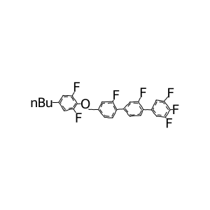 CCCCc1cc(F)c(OCc2ccc(-c3ccc(-c4cc(F)c(F)c(F)c4)c(F)c3)c(F)c2)c(F)c1